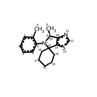 Cc1ccccc1N1[C@@H](C)c2ncsc2C12CCCCC2